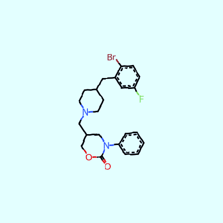 O=C1OCC(CN2CCC(Cc3cc(F)ccc3Br)CC2)CN1c1ccccc1